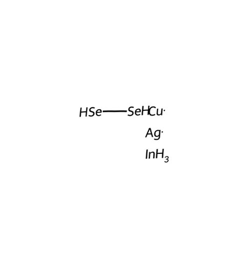 [Ag].[Cu].[InH3].[SeH][SeH]